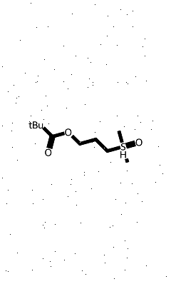 CC(C)(C)C(=O)OCCC[SH](C)(C)=O